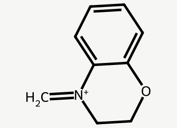 C=[N+]1CCOc2ccccc21